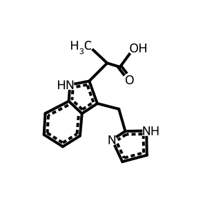 CC(C(=O)O)c1[nH]c2ccccc2c1Cc1ncc[nH]1